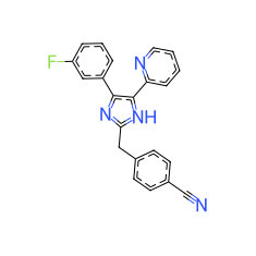 N#Cc1ccc(Cc2nc(-c3cccc(F)c3)c(-c3ccccn3)[nH]2)cc1